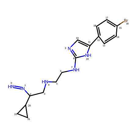 N=NC(CNCCNc1ncc(-c2ccc(Br)cc2)[nH]1)C1CC1